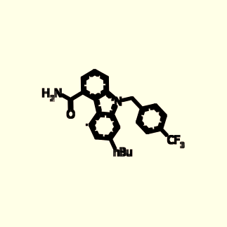 CCCCc1c[c]c2c3c(C(N)=O)cccc3n(Cc3ccc(C(F)(F)F)cc3)c2c1